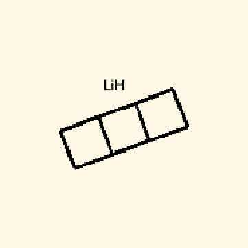 C12C3C4C1C1C2C3C41.[LiH]